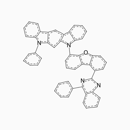 c1ccc(-c2nc(-c3cccc4oc5c(-n6c7ccccc7c7cc8c9ccccc9n(-c9ccccc9)c8cc76)cccc5c34)nc3ccccc23)cc1